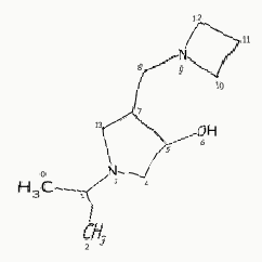 CC(C)N1CC(O)C(CN2CCC2)C1